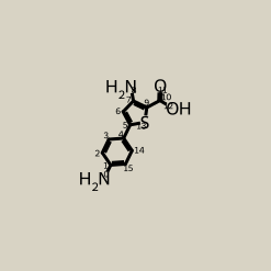 Nc1ccc(-c2cc(N)c(C(=O)O)s2)cc1